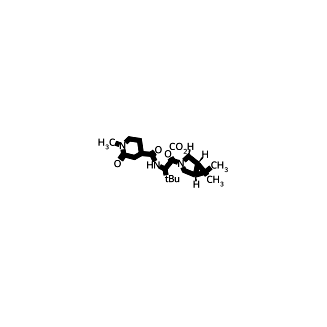 CN1CCC(C(=O)NC(C(=O)N2C[C@H]3[C@@H]([C@H]2C(=O)O)C3(C)C)C(C)(C)C)CC1=O